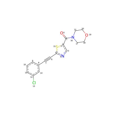 O=C(c1cnc(C#Cc2cccc(Cl)c2)s1)N1CCOCC1